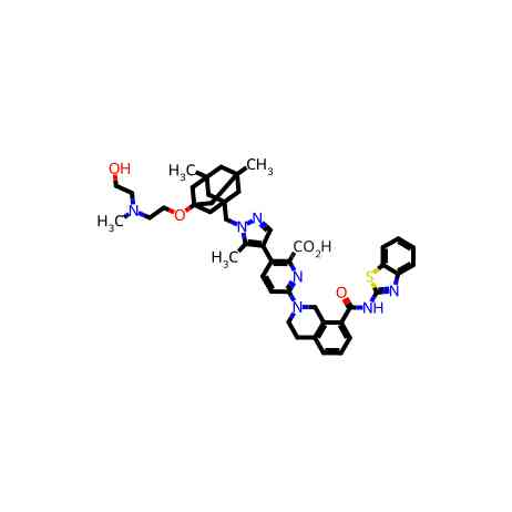 Cc1c(-c2ccc(N3CCc4cccc(C(=O)Nc5nc6ccccc6s5)c4C3)nc2C(=O)O)cnn1CC12CC3(C)CC(C)(C1)CC(OCCN(C)CCO)(C3)C2